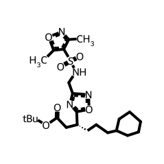 Cc1noc(C)c1S(=O)(=O)NCc1noc([C@H](CCCC2CCCCC2)CC(=O)OC(C)(C)C)n1